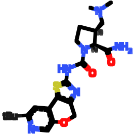 CN(C)C[C@@H]1CCN(C(=O)Nc2nc3c(s2)-c2cc(C(C)(C)C)ncc2OC3)[C@@H]1C(N)=O